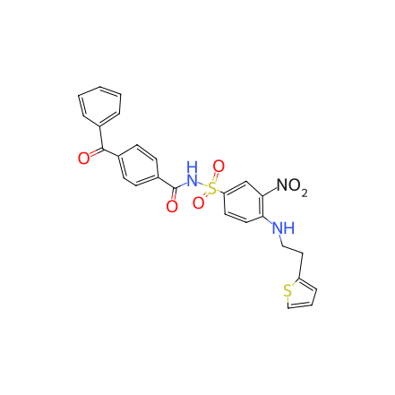 O=C(NS(=O)(=O)c1ccc(NCCc2cccs2)c([N+](=O)[O-])c1)c1ccc(C(=O)c2ccccc2)cc1